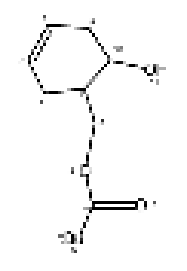 CC(C)(C)C(=O)OCC1CC=CCC1O